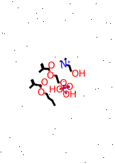 C=C(C)C(=O)OCCCC.C=C(C)C(=O)OCCOP(=O)(O)O.C[N+](C)(C)CCO